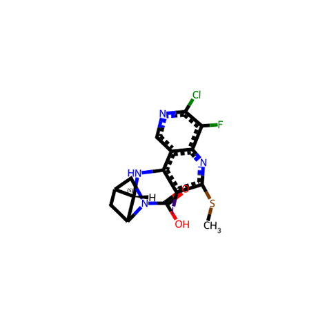 CSc1nc2c(F)c(Cl)ncc2c(N[C@H]2C3CC2N(C(=O)O)C3)c1I